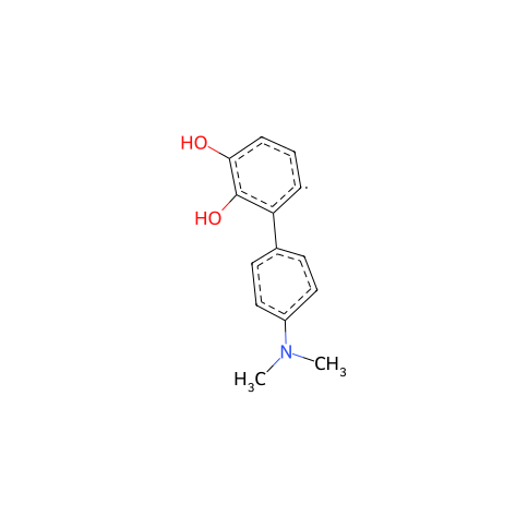 CN(C)c1ccc(-c2[c]ccc(O)c2O)cc1